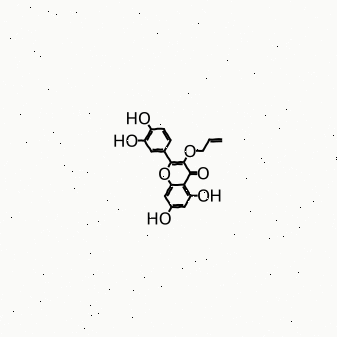 C=CCOc1c(-c2ccc(O)c(O)c2)oc2cc(O)cc(O)c2c1=O